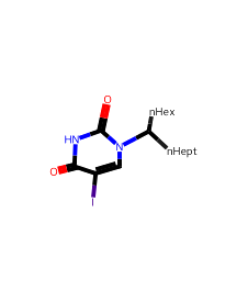 CCCCCCCC(CCCCCC)n1cc(I)c(=O)[nH]c1=O